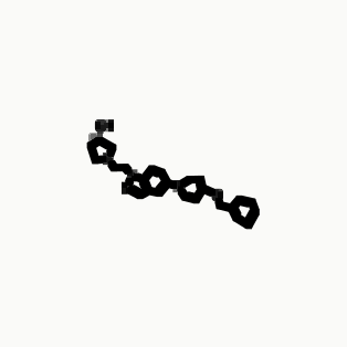 O[C@H]1CCN(CCn2ncc3cc(N4C=CC(OCc5ccccc5)=CC4)ccc32)C1